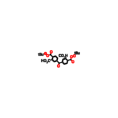 CC(C)(C)OOC(=O)c1ccc(C(=O)c2ccc(C(=O)OOC(C)(C)C)c(C(=O)O)c2)cc1C(=O)O